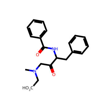 CN(CC(=O)O)CC(=O)C(Cc1ccccc1)NC(=O)c1ccccc1